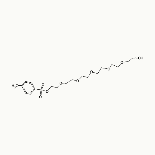 Cc1ccc(S(=O)(=O)OCCOCCOCCOCCOCCOCCO)cc1